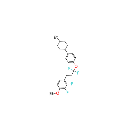 CCOc1ccc(CCC(F)(F)Oc2ccc(C3CCC(CC)CC3)cc2)c(F)c1F